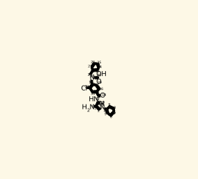 Nc1cn(-c2ccccc2)nc1NC(=O)c1ccc(CN(Cc2ccccc2)C(=O)O)c(Cl)c1